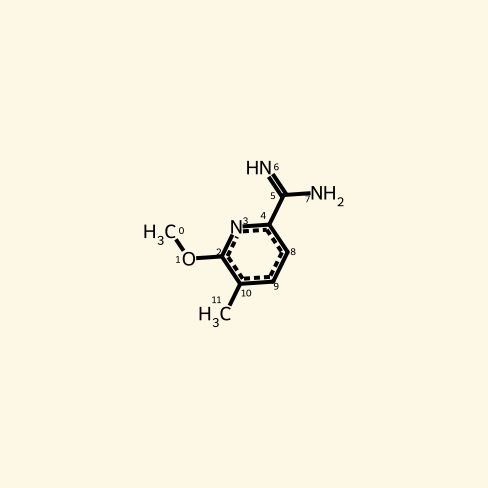 COc1nc(C(=N)N)ccc1C